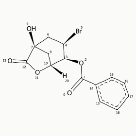 O=C(O[C@@H]1[C@H](Br)C[C@]2(O)C[C@H]1OC2=O)c1ccccc1